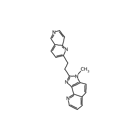 Cn1c(CCc2ccc3cnccc3n2)nc2c3ncccc3ccc21